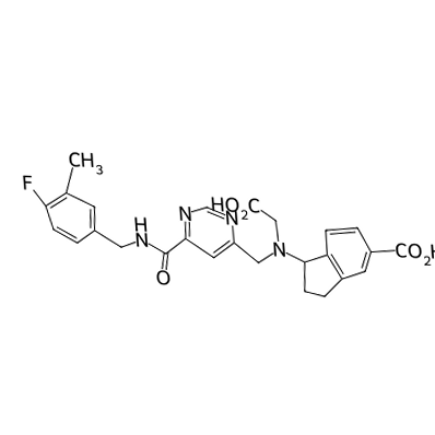 Cc1cc(CNC(=O)c2cc(CN(CC(=O)O)C3CCc4cc(C(=O)O)ccc43)ncn2)ccc1F